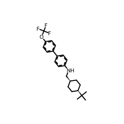 CC(C)(C)[C@H]1CC[C@@H](CNc2ccc(-c3ccc(OC(F)(F)F)cc3)cc2)CC1